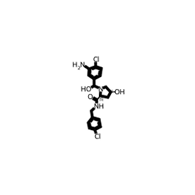 Nc1cc(C(O)N2C[C@H](O)C[C@H]2C(=O)NCc2ccc(Cl)cc2)ccc1Cl